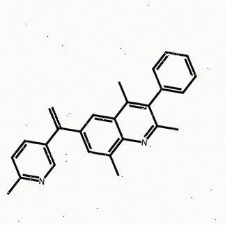 C=C(c1ccc(C)nc1)c1cc(C)c2nc(C)c(-c3ccccc3)c(C)c2c1